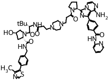 Cc1ncsc1-c1ccc(CNC(=O)[C@@H]2C[C@@H](O)CN2C(=O)[C@@H](NC(=O)CCN2CCN(CCC(=O)N3CCC[C@H]3c3nc(-c4ccc(C(=O)Nc5ccccn5)cc4)c4c(N)nccn34)CC2)C(C)(C)C)cc1